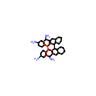 Nc1ccc(P(c2ccc(N)cc2)c2ccc3ccccc3c2-c2c(P(c3ccc(N)cc3)c3ccc(N)cc3)ccc3ccccc23)cc1